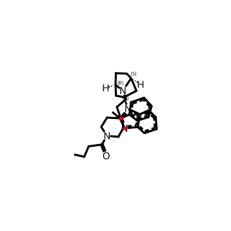 CCCC(=O)N1CCC(CCN2[C@@H]3CC[C@H]2C[C@@H](n2c(C)nc4ccccc42)C3)(c2ccccc2)CC1